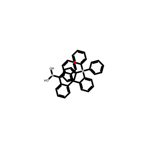 OB(O)c1c2ccccc2c(-c2ccccc2S(c2ccccc2)(c2ccccc2)c2ccccc2)c2ccccc12